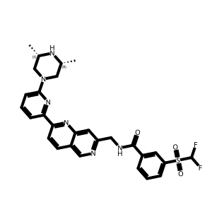 C[C@@H]1CN(c2cccc(-c3ccc4cnc(CNC(=O)c5cccc(S(=O)(=O)C(F)F)c5)cc4n3)n2)C[C@H](C)N1